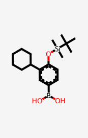 CC(C)(C)[Si](C)(C)Oc1ccc(B(O)O)cc1C1CCCCC1